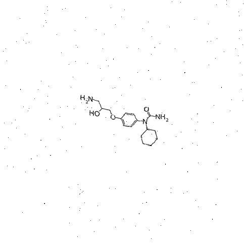 NCC(O)COc1ccc(N(C(N)=O)C2CCCCC2)cc1